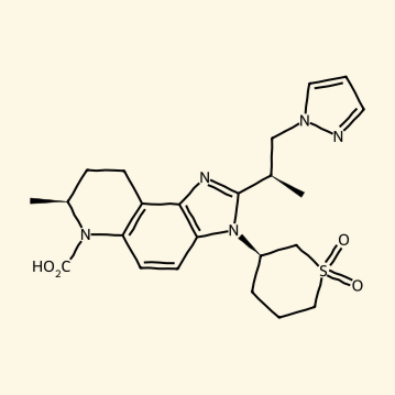 C[C@H](Cn1cccn1)c1nc2c3c(ccc2n1[C@@H]1CCCS(=O)(=O)C1)N(C(=O)O)[C@@H](C)CC3